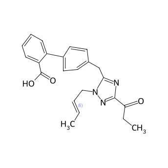 C/C=C/Cn1nc(C(=O)CC)nc1Cc1ccc(-c2ccccc2C(=O)O)cc1